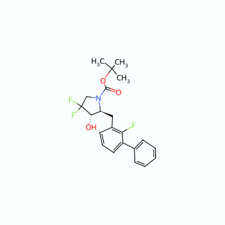 CC(C)(C)OC(=O)N1CC(F)(F)[C@@H](O)[C@@H]1Cc1cccc(-c2ccccc2)c1F